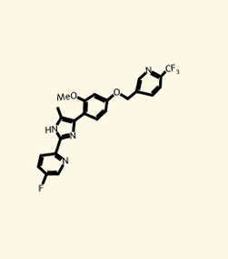 COc1cc(OCc2ccc(C(F)(F)F)nc2)ccc1-c1nc(-c2ccc(F)cn2)[nH]c1C